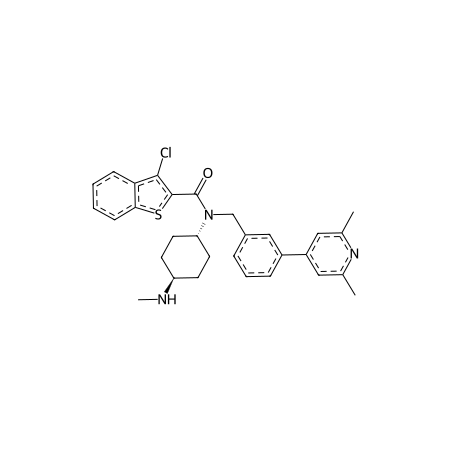 CN[C@H]1CC[C@H](N(Cc2cccc(-c3cc(C)nc(C)c3)c2)C(=O)c2sc3ccccc3c2Cl)CC1